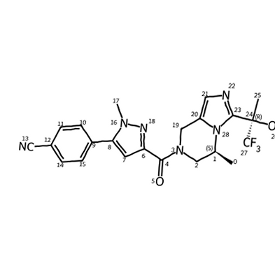 C[C@H]1CN(C(=O)c2cc(-c3ccc(C#N)cc3)n(C)n2)Cc2cnc([C@@](C)(O)C(F)(F)F)n21